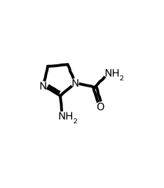 NC(=O)N1CCN=C1N